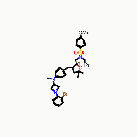 COc1ccc(S(=O)(=O)N(CC(C)C)C[C@H]2OC(C)(C)C[C@H]2Cc2ccc(N(C)C3CN(c4ccccc4Br)C3)cc2)cc1